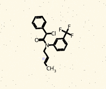 C/C=C/CN(C(=O)C(Cl)c1ccccc1)c1cccc(C(F)(F)F)c1